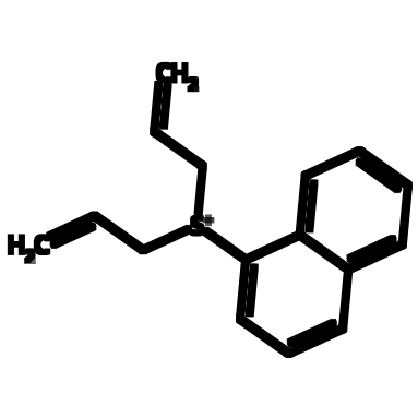 C=CC[S+](CC=C)c1cccc2ccccc12